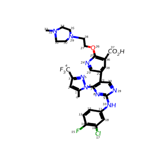 Cc1cc(C(F)(F)F)nn1-c1nc(Nc2ccc(F)c(Cl)c2)ncc1-c1cnc(OCCN2CCN(C)CC2)c(C(=O)O)c1